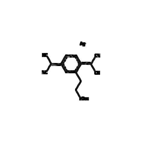 CCCCCCCCCCCCc1cc(=C(C#N)C#N)ccc1=C(C#N)C#N.[Ag]